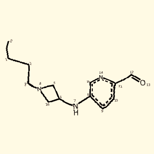 CCCCN1CC(Nc2ccc(C=O)nc2)C1